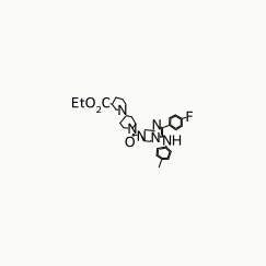 CCOC(=O)C1CCCN(C2CCN(C(=O)N3CCn4c(nc(-c5ccc(F)cc5)c4Nc4ccc(C)cc4)C3)CC2)C1